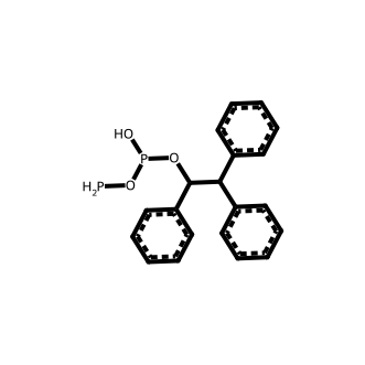 OP(OP)OC(c1ccccc1)C(c1ccccc1)c1ccccc1